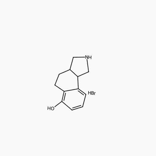 Br.Oc1cccc2c1CCC1CNCC21